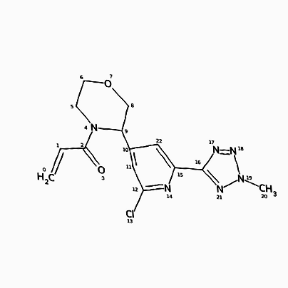 C=CC(=O)N1CCOCC1c1cc(Cl)nc(-c2nnn(C)n2)c1